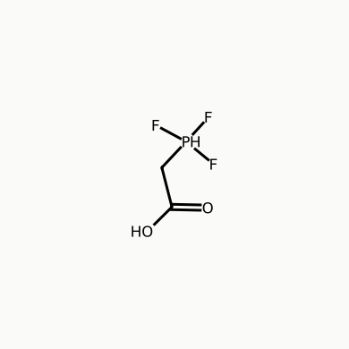 O=C(O)C[PH](F)(F)F